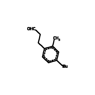 CCC(C)c1ccc(CCC=O)c(C)c1